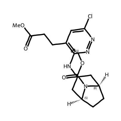 COC(=O)CCc1cc(Cl)nnc1NC1C[C@H]2CC[C@@H](C1)N2C(=O)OC(C)(C)C